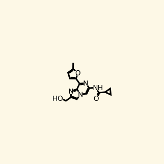 Cc1ccc(-c2nc(NC(=O)C3CC3)cn3cc(CO)nc23)o1